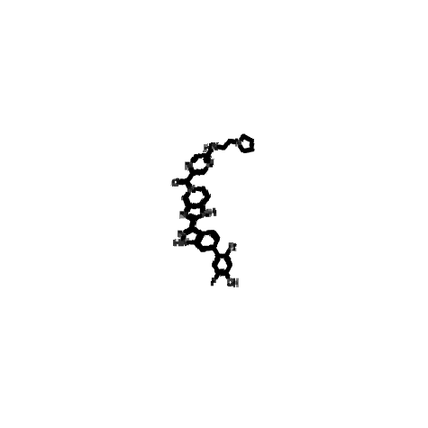 CCc1cc(O)c(F)cc1-c1ccc2c(-c3nc4c([nH]3)CCN(C(=O)c3cnc(NCCN5CCCC5)cn3)C4)n[nH]c2c1